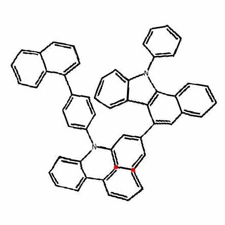 c1ccc(-c2ccccc2N(c2ccc(-c3cccc4ccccc34)cc2)c2cccc(-c3cc4ccccc4c4c3c3ccccc3n4-c3ccccc3)c2)cc1